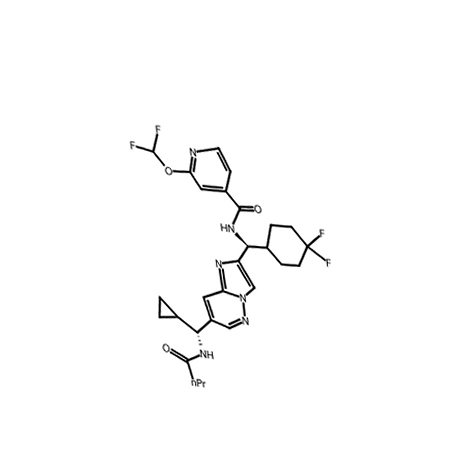 CCCC(=O)N[C@@H](c1cnn2cc([C@@H](NC(=O)c3ccnc(OC(F)F)c3)C3CCC(F)(F)CC3)nc2c1)C1CC1